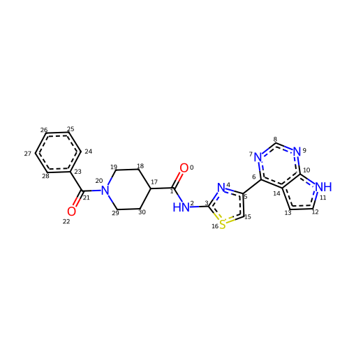 O=C(Nc1nc(-c2ncnc3[nH]ccc23)cs1)C1CCN(C(=O)c2ccccc2)CC1